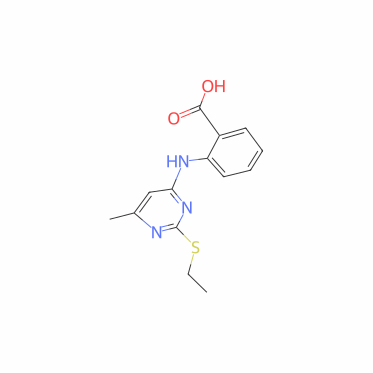 CCSc1nc(C)cc(Nc2ccccc2C(=O)O)n1